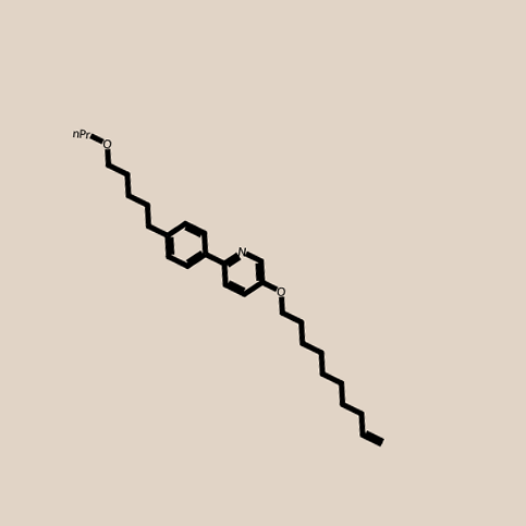 C=CCCCCCCCCOc1ccc(-c2ccc(CCCCCOCCC)cc2)nc1